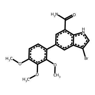 COc1ccc(-c2cc(C(N)=O)c3[nH]cc(Br)c3c2)c(OC)c1OC